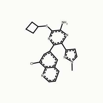 Cn1ccc(-c2nc(N)c(SC3CCC3)nc2-c2cc(Cl)c3ncccc3c2)n1